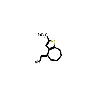 CCCC=C1CCCCc2sc(C(=O)O)cc21